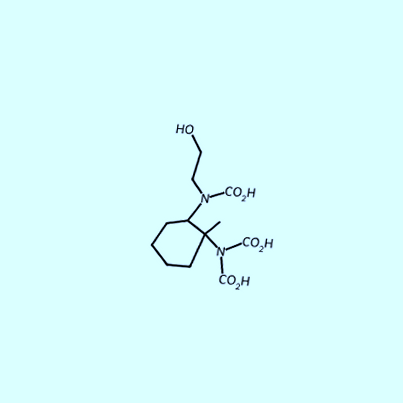 CC1(N(C(=O)O)C(=O)O)CCCCC1N(CCO)C(=O)O